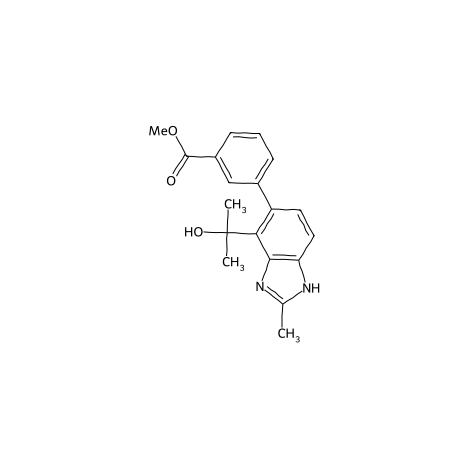 COC(=O)c1cccc(-c2ccc3[nH]c(C)nc3c2C(C)(C)O)c1